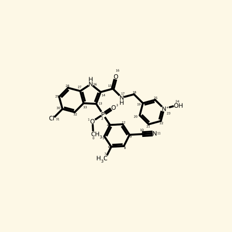 COP(=O)(c1cc(C)cc(C#N)c1)c1c(C(=O)NCc2ccc[n+](O)c2)[nH]c2ccc(Cl)cc12